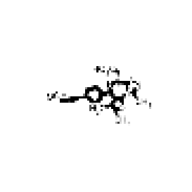 Cc1sc2c(c1C)C(c1ccc(C#CCNO)cc1)=N[C@@H](CC(=O)O)c1nnc(C)n1-2